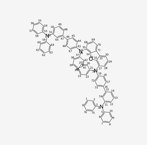 c1ccc(N(c2ccccc2)c2cccc(-c3ccc(N(c4ccccc4)c4cccc5c4oc4c(N(c6ccccc6)c6ccc(-c7cccc(N(c8ccccc8)c8ccccc8)c7)cc6)cccc45)cc3)c2)cc1